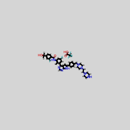 Cc1c(NC(=O)c2ccc(C(C)(C)O)cc2F)cc(F)cc1-c1ncnc2[nH]c(-c3ccc(CN4CCN(CCN5CCNCC5)CC4)cc3)cc12.O=C(O)C(F)(F)F